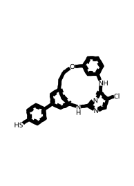 Sc1ccc(-c2cc3cc(c2)Nc2ncc(Cl)c(n2)Nc2cccc(c2)OCC3)cc1